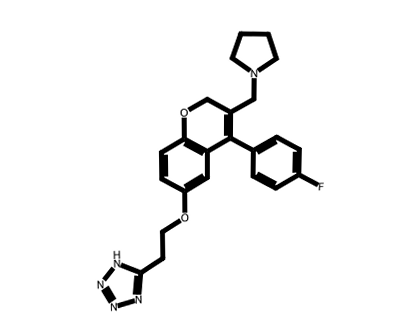 Fc1ccc(C2=C(CN3CCCC3)COc3ccc(OCCc4nnn[nH]4)cc32)cc1